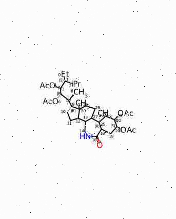 CC[C@@H](C(C)C)[C@H](OC(C)=O)[C@@H](OC(C)=O)[C@@H](C)[C@H]1CCC2C3CNC(=O)C4C[C@H](OC(C)=O)[C@H](OC(C)=O)C[C@]4(C)C3CC[C@@]21C